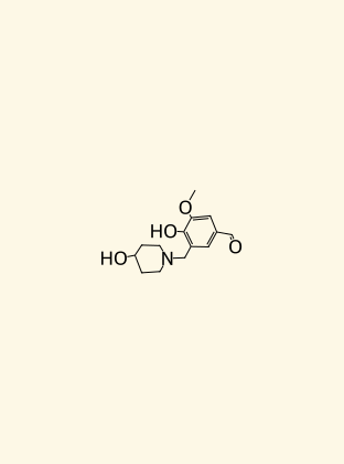 COc1cc(C=O)cc(CN2CCC(O)CC2)c1O